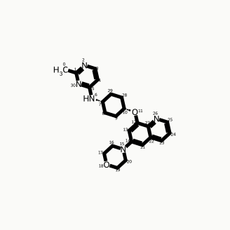 Cc1nccc(N[C@H]2CC[C@@H](Oc3cc(N4CCOCC4)cc4cccnc34)CC2)n1